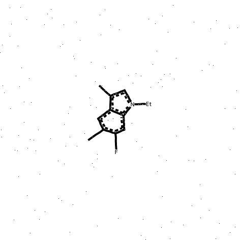 CCn1cc(C)c2cc(C)c(F)cc21